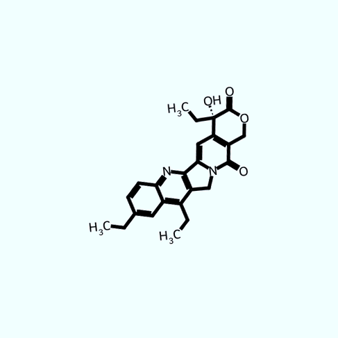 CCc1ccc2nc3c(c(CC)c2c1)Cn1c-3cc2c(c1=O)COC(=O)[C@]2(O)CC